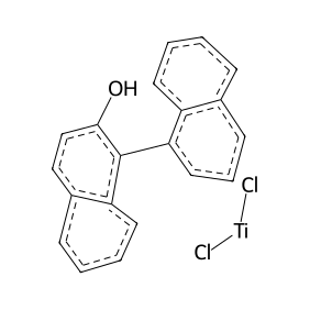 Oc1ccc2ccccc2c1-c1cccc2ccccc12.[Cl][Ti][Cl]